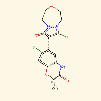 C[C@@H]1Oc2cc(F)c(-c3c(Cl)n4n(c3=O)CCOCC4)cc2NC1=O